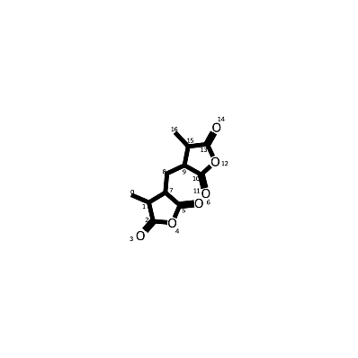 CC1C(=O)OC(=O)C1CC1C(=O)OC(=O)C1C